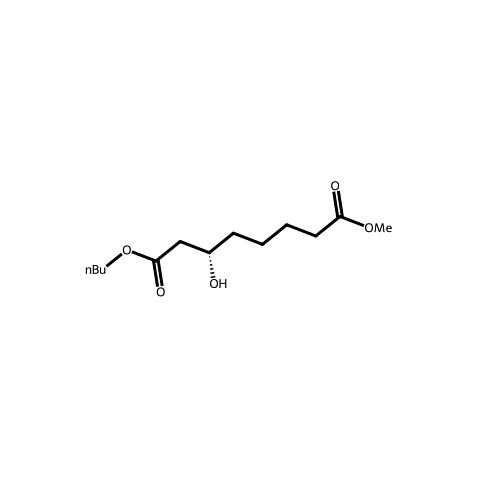 CCCCOC(=O)C[C@@H](O)CCCCC(=O)OC